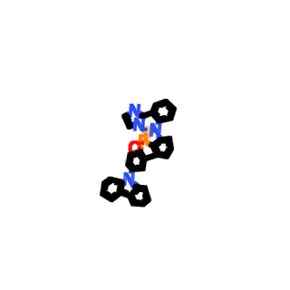 O=P12B3N(c4ccccc4-c4nccn43)c3cccc(c31)-c1cc(-n3c4ccccc4c4ccccc43)ccc12